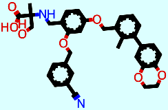 Cc1c(COc2ccc(CNC(C)(CO)C(=O)O)c(OCc3cccc(C#N)c3)c2)cccc1-c1ccc2c(c1)OCCO2